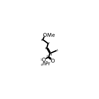 CCCOC(=O)C(C)=CCCOC